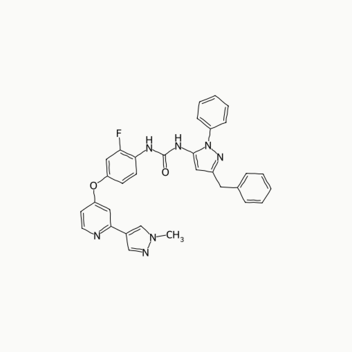 Cn1cc(-c2cc(Oc3ccc(NC(=O)Nc4cc(Cc5ccccc5)nn4-c4ccccc4)c(F)c3)ccn2)cn1